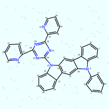 c1ccc(-n2c3ccccc3c3cc4c(cc32)c2ccccc2n4-c2nc(-c3ccccn3)nc(-c3ccccn3)n2)cc1